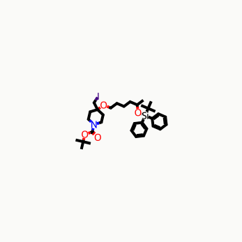 CC(CCCCOC1(CI)CCN(C(=O)OC(C)(C)C)CC1)O[Si](c1ccccc1)(c1ccccc1)C(C)(C)C